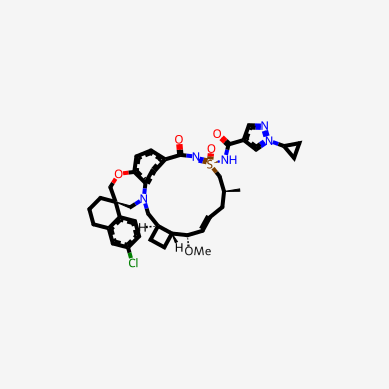 CO[C@H]1/C=C/C[C@H](C)C[S@@](=O)(NC(=O)c2cnn(C3CC3)c2)=NC(=O)c2ccc3c(c2)N(C[C@@H]2CC[C@H]21)C[C@@]1(CCCc2cc(Cl)ccc21)CO3